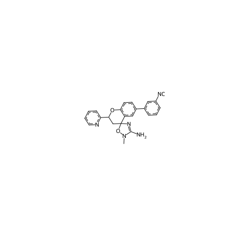 [C-]#[N+]c1cccc(-c2ccc3c(c2)C2(CC(c4ccccn4)O3)N=C(N)N(C)O2)c1